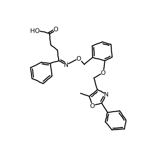 Cc1oc(-c2ccccc2)nc1COc1ccccc1CO/N=C(\CCC(=O)O)c1ccccc1